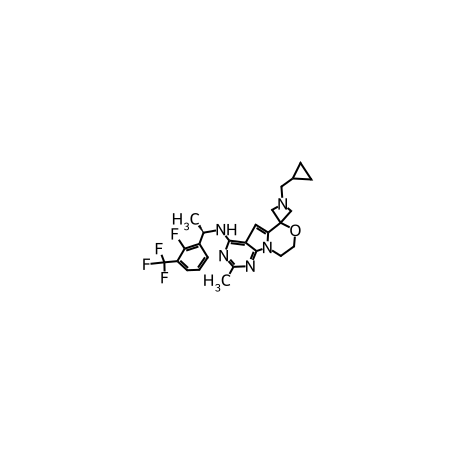 Cc1nc(N[C@H](C)c2cccc(C(F)(F)F)c2F)c2cc3n(c2n1)CCOC31CN(CC2CC2)C1